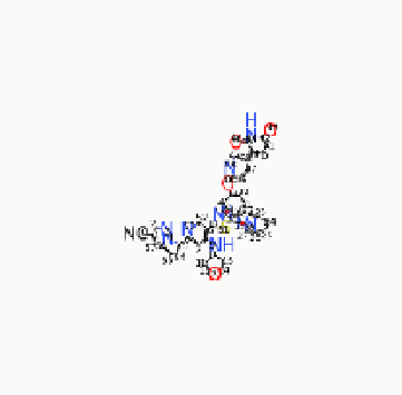 N#Cc1cnn2c(-c3cc(NC4CCOCC4)c(-c4nnc(N5CC6CCC(C5)N6CC5CCC(Oc6ccc([C@H]7CCC(=O)NC7=O)cn6)CC5)s4)cn3)ccc2c1